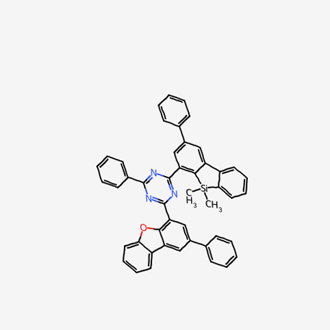 C[Si]1(C)c2ccccc2-c2cc(-c3ccccc3)cc(-c3nc(-c4ccccc4)nc(-c4cc(-c5ccccc5)cc5c4oc4ccccc45)n3)c21